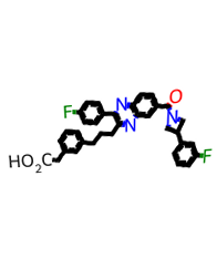 O=C(O)Cc1cccc(CCCc2nc3cc(C(=O)N4CC(c5cccc(F)c5)C4)ccc3nc2-c2ccc(F)cc2)c1